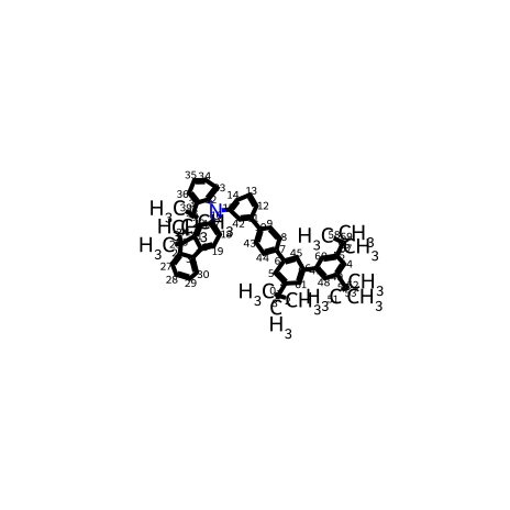 CC(C)(C)c1cc(-c2ccc(-c3cccc(N(c4ccc5c(c4)C(C)(C)c4ccccc4-5)c4ccccc4C(C)(C)C)c3)cc2)cc(-c2cc(C(C)(C)C)cc(C(C)(C)C)c2)c1